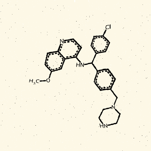 COc1ccc2nccc(NC(c3ccc(Cl)cc3)c3ccc(CN4CCNCC4)cc3)c2c1